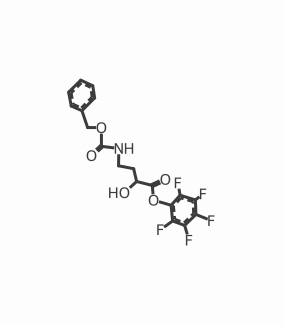 O=C(NCCC(O)C(=O)Oc1c(F)c(F)c(F)c(F)c1F)OCc1ccccc1